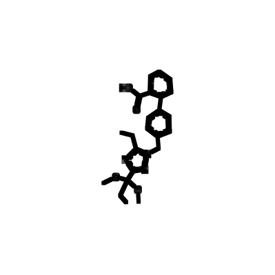 CCc1nc(C(CC)(OC)OC)nn1Cc1ccc(-c2ccccc2C(=O)O)cc1